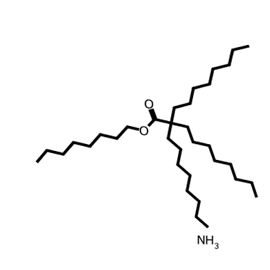 CCCCCCCCOC(=O)C(CCCCCCCC)(CCCCCCCC)CCCCCCCC.N